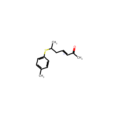 CC(=O)/C=C/CC(C)Sc1ccc(C)cc1